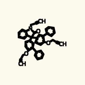 C#CCOc1ccc(C2(c3ccc(OCC#C)c(-c4ccccc4)c3)C(=O)N(CC#C)c3ccccc32)cc1-c1ccccc1